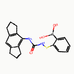 O=C(NSc1ccccc1B(O)O)Nc1c2c(cc3c1CCC3)CCC2